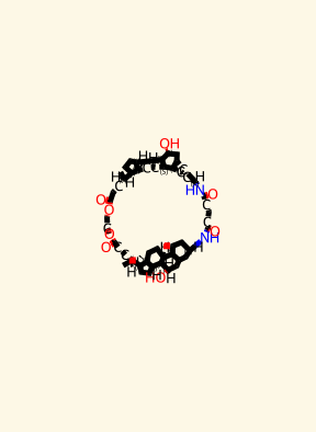 C[C@@H]1CCC(=O)OCCOC(=O)CC[C@@H](C)[C@H]2CC[C@H]3[C@@H]4[C@@H](O)CC5C[C@@H](CC[C@]5(C)[C@H]4CC[C@]23C)NC(=O)CCCC(=O)N[C@@H]2CC[C@@]3(C)C(C2)C[C@H](O)[C@H]2[C@@H]4CC[C@H]1[C@@]4(C)CC[C@@H]23